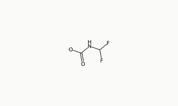 [O]C(=O)NC(F)F